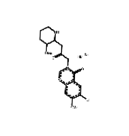 Br.Br.COC1CCCNC1CC(=O)Cn1cnc2cc(SC)c(Cl)cc2c1=O